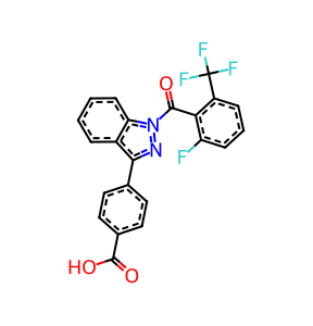 O=C(O)c1ccc(-c2nn(C(=O)c3c(F)cccc3C(F)(F)F)c3ccccc23)cc1